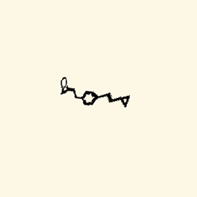 c1cc(CCC2CO2)ccc1CCC1CC1